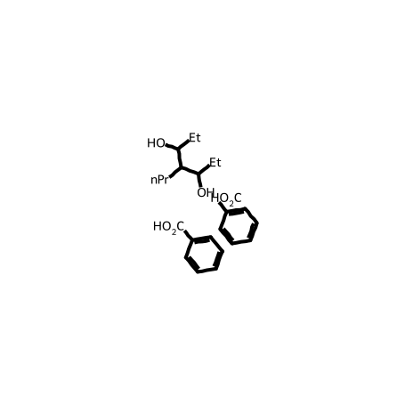 CCCC(C(O)CC)C(O)CC.O=C(O)c1ccccc1.O=C(O)c1ccccc1